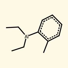 C[CH2][Al]([CH2]C)[c]1ccccc1C